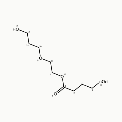 CCCCCCCCCCCC(=O)OCCOCCCO